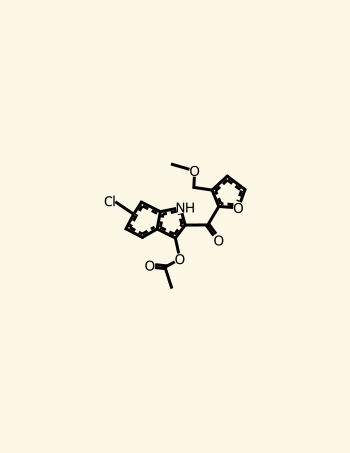 COCc1ccoc1C(=O)c1[nH]c2cc(Cl)ccc2c1OC(C)=O